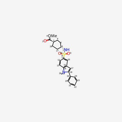 COC(=O)[C@H]1CC[C@H](NS(=O)(=O)c2ccc3c(c2)cc(-c2ccccc2)n3C)CC1